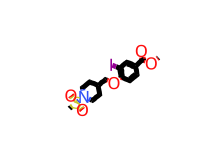 COC(=O)c1ccc(OCC2CCN(S(C)(=O)=O)CC2)c(I)c1